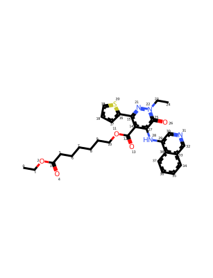 CCOC(=O)CCCCCCOC(=O)c1c(-c2cccs2)nn(CC)c(=O)c1Nc1cncc2ccccc12